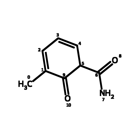 CC1=CC=CC(C(N)=O)C1=O